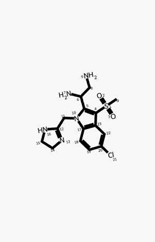 CS(=O)(=O)c1c(C(N)CN)n(CC2=NCCN2)c2ccc(Cl)cc12